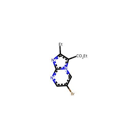 CCOC(=O)c1c(CC)nc2ncc(Br)cn12